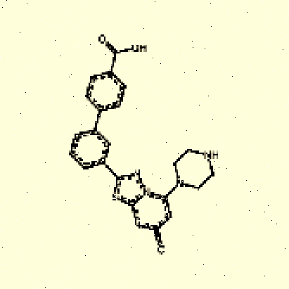 O=C(O)c1ccc(-c2cccc(-c3nn4c(N5CCNCC5)cc(=O)nc4s3)c2)cc1